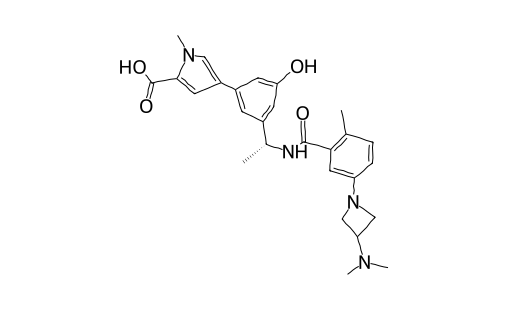 Cc1ccc(N2CC(N(C)C)C2)cc1C(=O)N[C@H](C)c1cc(O)cc(-c2cc(C(=O)O)n(C)c2)c1